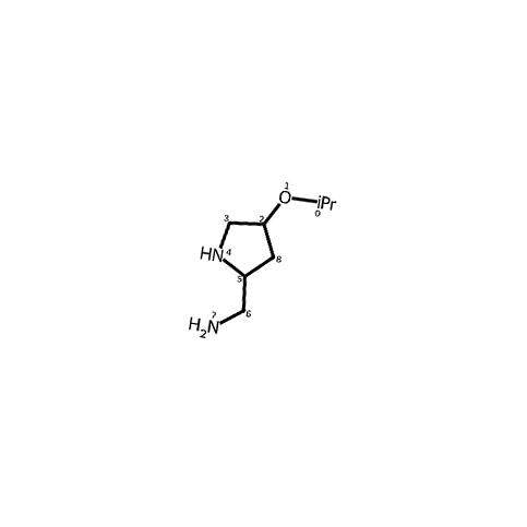 CC(C)OC1CNC(CN)C1